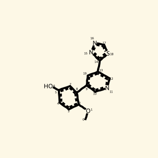 COc1ccc(O)cc1-c1cncc(-c2nncs2)c1